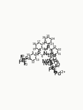 CC#N.CC#N.CC(C)(C)N(CP(c1ccccc1)c1ccccc1)CP(c1ccccc1)c1ccccc1.F[B-](F)(F)F.F[B-](F)(F)F.[Pd+2]